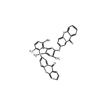 Cc1cc(S(C)(c2ccc3sc4ccccc4c(=O)c3c2)c2cc(C(C)(C)C)ccc2C)c(C(C)(C)C)cc1Sc1ccc2sc3ccccc3c(=O)c2c1